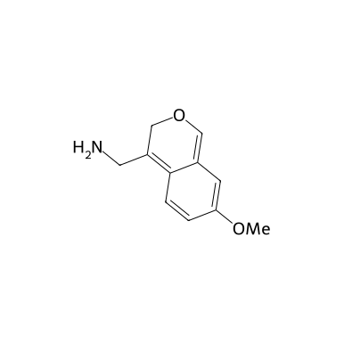 COc1ccc2c(c1)=COCC=2CN